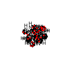 c1c[nH]c(N(c2ccc[nH]2)P(=N[P+](N=P(N(c2ccc[nH]2)c2ccc[nH]2)(N(c2ccc[nH]2)c2ccc[nH]2)N(c2ccc[nH]2)c2ccc[nH]2)(N=P(N(c2ccc[nH]2)c2ccc[nH]2)(N(c2ccc[nH]2)c2ccc[nH]2)N(c2ccc[nH]2)c2ccc[nH]2)N=P(N(c2ccc[nH]2)c2ccc[nH]2)(N(c2ccc[nH]2)c2ccc[nH]2)N(c2ccc[nH]2)c2ccc[nH]2)(N(c2ccc[nH]2)c2ccc[nH]2)N(c2ccc[nH]2)c2ccc[nH]2)c1